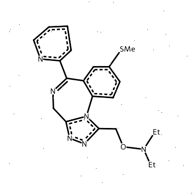 CCN(CC)OCc1nnc2n1-c1ccc(SC)cc1C(c1ccccn1)=NC2